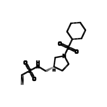 C=CS(=O)(=O)NC[C@H]1CCN(S(=O)(=O)C2CCCCC2)C1